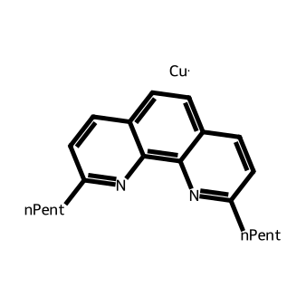 CCCCCc1ccc2ccc3ccc(CCCCC)nc3c2n1.[Cu]